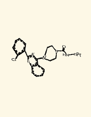 CCCNC(=O)N1CCN(c2nc(-c3ccccc3Cl)nc3ccccc23)CC1